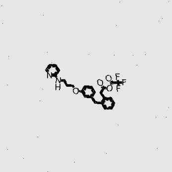 O=C(Cc1ccccc1Cc1cccc(OCCCNc2ccccn2)c1)OC(=O)C(F)(F)F